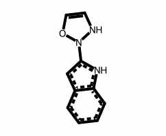 C1=CON(c2cc3ccccc3[nH]2)N1